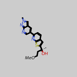 COCC[C@](C)(O)c1cc2ccc(-c3cnc4nn(C)cc4c3)nc2s1